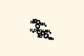 CC(C)(C)N1CCC2(CC1)c1onc(CC(C)(C)N3CCC4(CC3)c3[nH]ncc3C[C@H]4N)c1C[C@H]2N